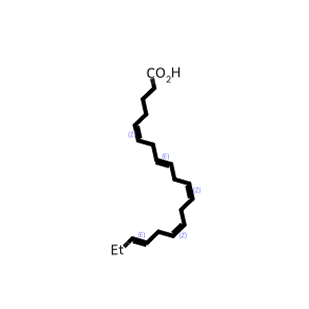 CC/C=C/C/C=C\C/C=C\C/C=C/C/C=C\CCCC(=O)O